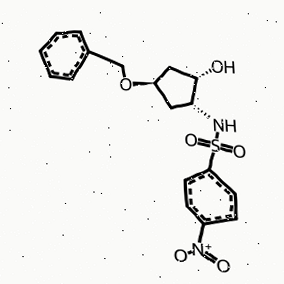 O=[N+]([O-])c1ccc(S(=O)(=O)N[C@@H]2C[C@@H](OCc3ccccc3)C[C@@H]2O)cc1